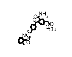 Cc1cccc2nc(SCc3ccc(C(=O)c4ccc(CC(=O)OC(C)(C)C)cc4C(N)=O)cc3)n(C)c(=O)c12